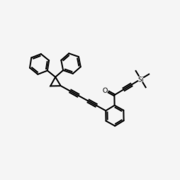 C[Si](C)(C)C#CC(=O)c1ccccc1C#CC#CC1CC1(c1ccccc1)c1ccccc1